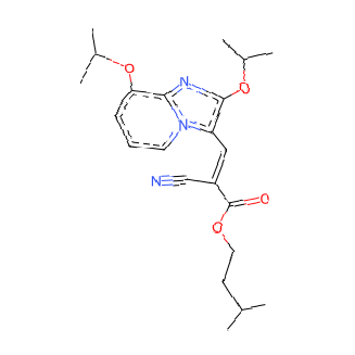 CC(C)CCOC(=O)C(C#N)=Cc1c(OC(C)C)nc2c(OC(C)C)cccn12